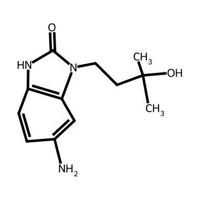 CC(C)(O)CCn1c(=O)[nH]c2ccc(N)cc21